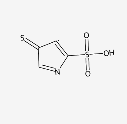 O=S(=O)(O)C1=[C]C(=S)C=N1